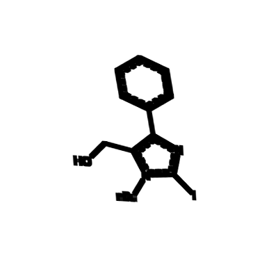 CCCCn1c(I)nc(-c2ccccc2)c1CO